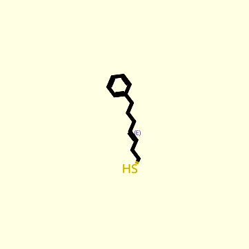 SCC/C=C/CCCc1ccccc1